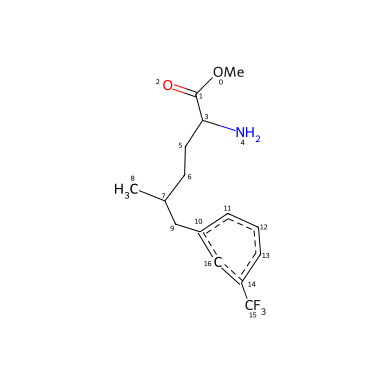 COC(=O)C(N)CCC(C)Cc1cccc(C(F)(F)F)c1